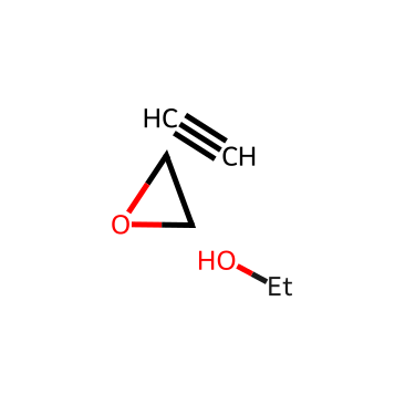 C#C.C1CO1.CCO